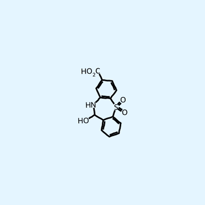 O=C(O)c1ccc2c(c1)NC(O)c1ccccc1S2(=O)=O